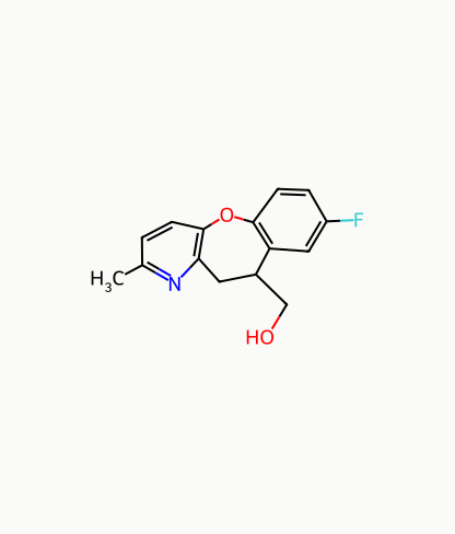 Cc1ccc2c(n1)CC(CO)c1cc(F)ccc1O2